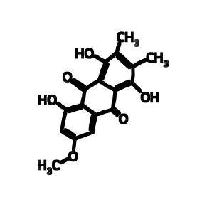 COc1cc(O)c2c(c1)C(=O)c1c(O)c(C)c(C)c(O)c1C2=O